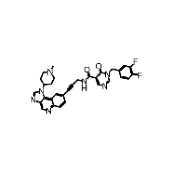 CN1CCC(n2cnc3cnc4ccc(C#CCNC(=O)c5cncn(Cc6ccc(F)c(F)c6)c5=O)cc4c32)CC1